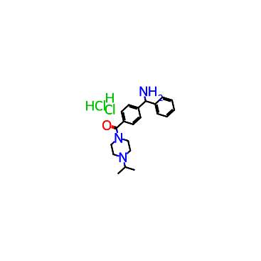 CC(C)N1CCN(C(=O)c2ccc(C(N)c3ccccc3)cc2)CC1.Cl.Cl